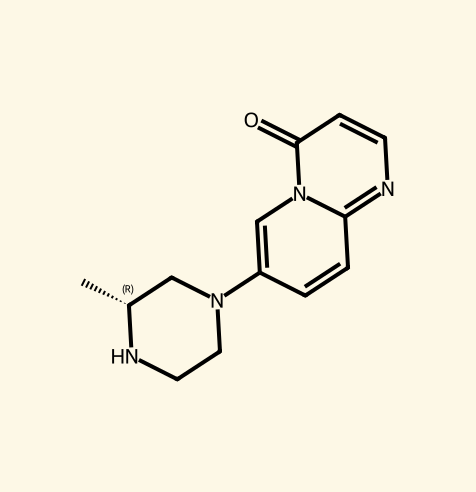 C[C@@H]1CN(c2ccc3nccc(=O)n3c2)CCN1